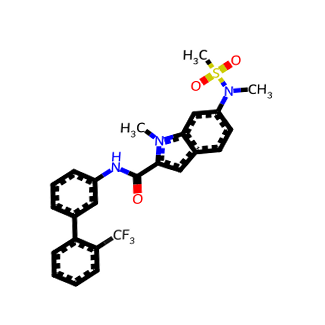 CN(c1ccc2cc(C(=O)Nc3cccc(-c4ccccc4C(F)(F)F)c3)n(C)c2c1)S(C)(=O)=O